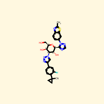 Cc1nc2ccc(-n3ncnc3[C@@H]3O[C@H](CO)[C@H](O)[C@H](n4cc(-c5ccc(C6(C#N)CC6)c(F)c5)nn4)[C@H]3O)cc2s1